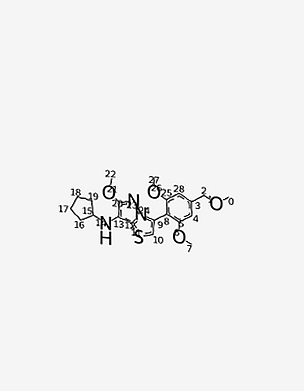 COCc1cc(OC)c(-c2csc3c(NC4CCCC4)c(OC)nn23)c(OC)c1